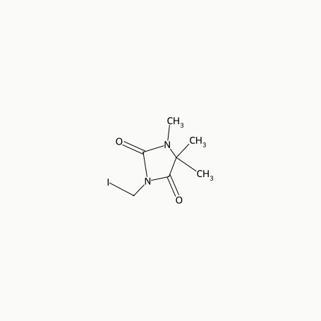 CN1C(=O)N(CI)C(=O)C1(C)C